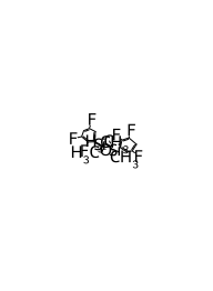 C[Si](C)(O[Si](C)(C)c1cc(F)cc(F)c1F)c1cc(F)cc(F)c1F